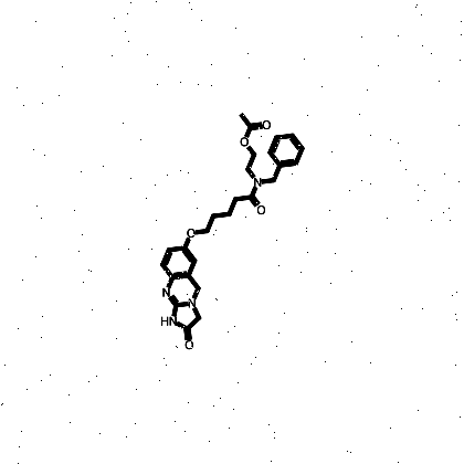 CC(=O)OCCN(Cc1ccccc1)C(=O)CCCCOc1ccc2c(c1)CN1CC(=O)NC1=N2